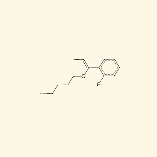 [CH2]CCCCOC(=CC)c1ccccc1F